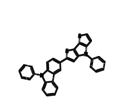 c1ccc(-n2c3ccccc3c3cc(-c4cc5c(s4)c4sccc4n5-c4ccccc4)ccc32)cc1